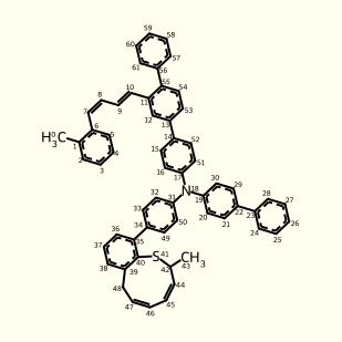 Cc1ccccc1/C=C\C=C\c1cc(-c2ccc(N(c3ccc(-c4ccccc4)cc3)c3ccc(-c4cccc5c4SC(C)/C=C\C=C/C5)cc3)cc2)ccc1-c1ccccc1